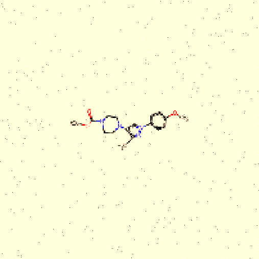 Cc1nn(-c2ccc(OC(F)(F)F)cc2)cc1N1CCN(C(=O)OC(C)(C)C)CC1